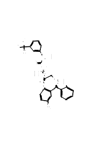 O=C(Nc1cccc(C(F)(F)F)c1)ONC1=Nc2ccc(Br)cc2C(c2ccccc2F)=NC1